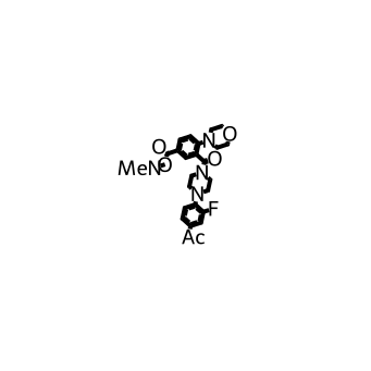 CNOC(=O)c1ccc(N2CCOCC2)c(C(=O)N2CCN(c3ccc(C(C)=O)cc3F)CC2)c1